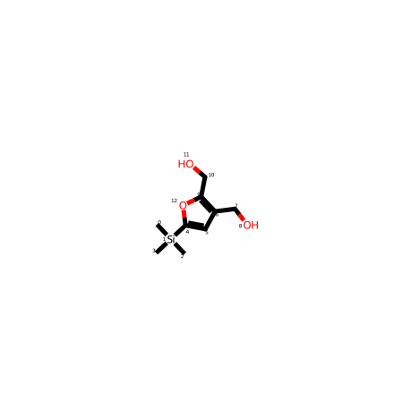 C[Si](C)(C)c1cc(CO)c(CO)o1